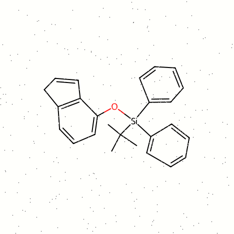 CC(C)(C)[Si](Oc1cccc2c1C=CC2)(c1ccccc1)c1ccccc1